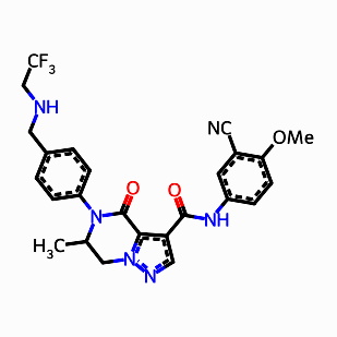 COc1ccc(NC(=O)c2cnn3c2C(=O)N(c2ccc(CNCC(F)(F)F)cc2)C(C)C3)cc1C#N